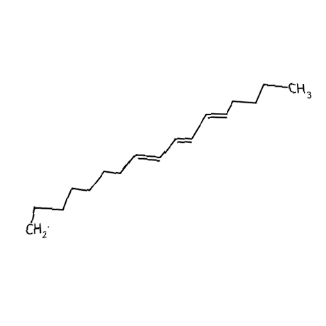 [CH2]CCCCCC/C=C/C=C/C=C/CCCC